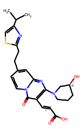 CC(C)c1csc(CCc2ccn3c(=O)c(/C=C/C(=O)O)c(N4CCC[C@H](O)C4)nc3c2)n1